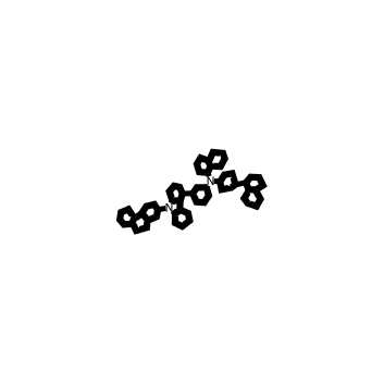 c1cc(-c2cccc3c2c2ccccc2n3-c2ccc3c(ccc4ccccc43)c2)cc(N(c2ccc(-c3cccc4ccccc34)cc2)c2cccc3ccccc23)c1